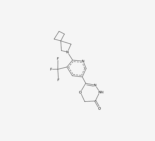 O=C1COC(c2cnc(N3CC4(CCC4)C3)c(C(F)(F)F)c2)=NN1